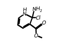 COC(=O)C1=CC=CNC1(N)Cl